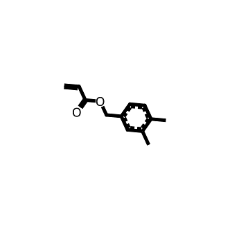 C=CC(=O)OCc1ccc(C)c(C)c1